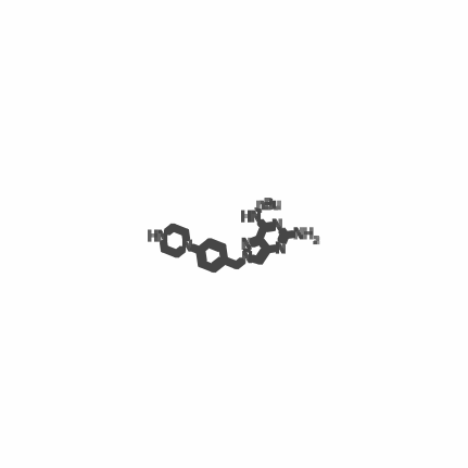 CCCCNc1nc(N)nc2cn(Cc3ccc(N4CCNCC4)cc3)nc12